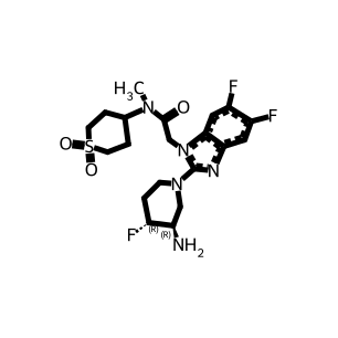 CN(C(=O)Cn1c(N2CC[C@@H](F)[C@H](N)C2)nc2cc(F)c(F)cc21)C1CCS(=O)(=O)CC1